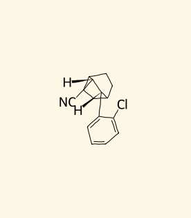 N#C[C@@H]1C2CCC(CC2)[C@@H]1c1ccccc1Cl